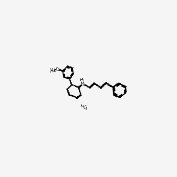 COc1cccc(C2CCCCC2NCCCCc2ccccc2)c1.Cl